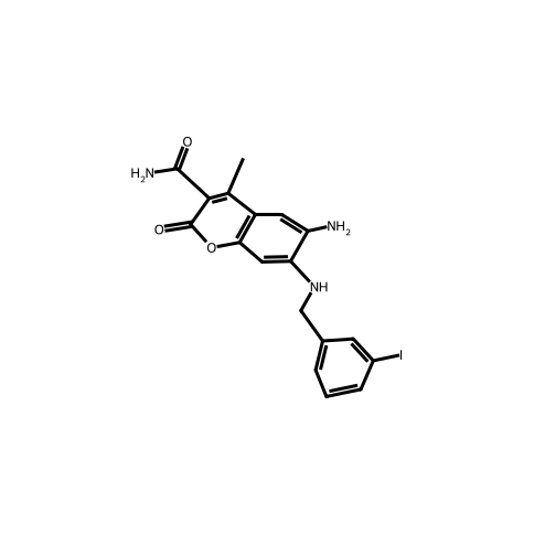 Cc1c(C(N)=O)c(=O)oc2cc(NCc3cccc(I)c3)c(N)cc12